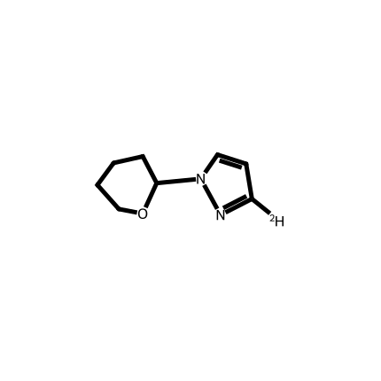 [2H]c1ccn(C2CCCCO2)n1